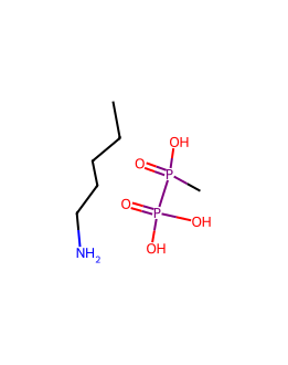 CCCCCN.CP(=O)(O)P(=O)(O)O